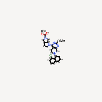 COc1nc2c(c(N3CCC4CN(C(=O)OC(C)(C)C)CC43)n1)CCN(c1cccc3cccc(Cl)c13)C2